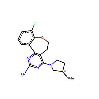 CN[C@@H]1CCN(c2nc(N)nc3c2CCOc2c(Cl)cccc2-3)C1